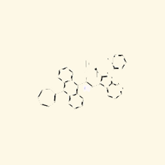 C#Cc1c(/C=C(\C)c2c3ccccc3c(C3=CC=CC=CC3)c3ccccc23)c2cccnc2n1-c1ccccn1